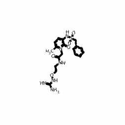 Cc1ccc(NS(=O)(=O)Cc2ccccc2)c(=O)n1CC(=O)NCCONC(=N)N